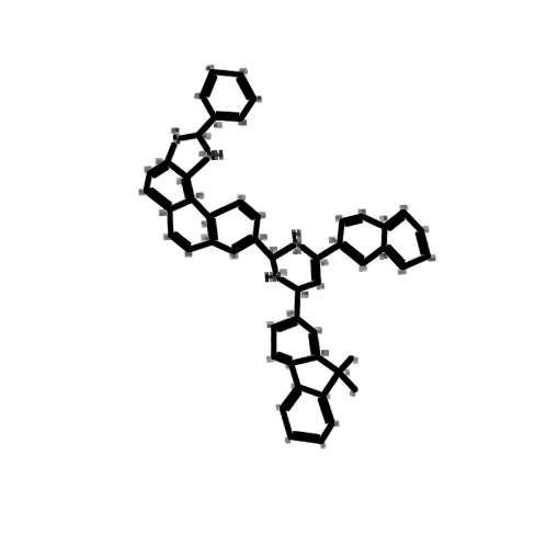 CC1(C)c2ccccc2-c2ccc(C3C=C(c4ccc5ccccc5c4)NC(c4ccc5c(ccc6ccc7c(c65)NC(c5ccccc5)S7)c4)N3)cc21